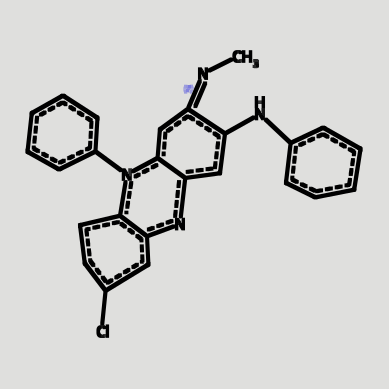 C/N=c1/cc2n(-c3ccccc3)c3ccc(Cl)cc3nc-2cc1Nc1ccccc1